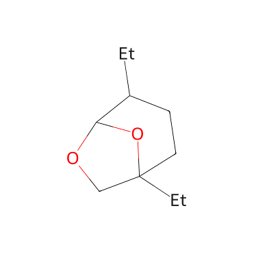 CCC1CCC2(CC)COC1O2